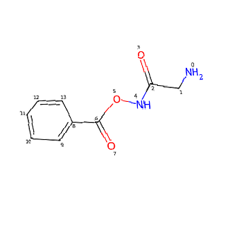 NCC(=O)NOC(=O)c1ccccc1